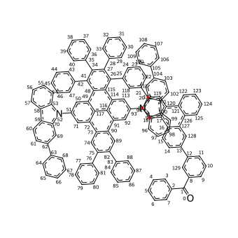 O=C(c1ccccc1)c1cccc(-c2ccc3c4ccc(-c5cccc(-c6c(-c7ccccc7)c(-c7ccccc7)c(-c7ccccc7)c7c8cc(-n9c%10ccccc%10c%10ccc(-c%11ccccc%11)cc%109)cc9c%10cc(-c%11ccccc%11)c(-c%11ccccc%11)cc%10c%10cc(-n%11c%12ccccc%12c%12ccc(-c%13ccccc%13)cc%12%11)cc(c67)c%10c98)c5)cc4c4ccccc4c3c2)c1